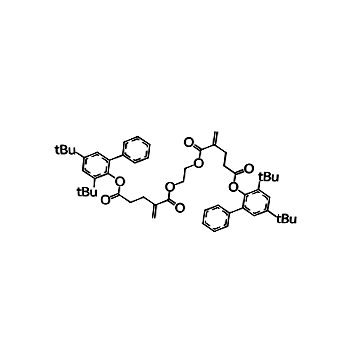 C=C(CCC(=O)Oc1c(-c2ccccc2)cc(C(C)(C)C)cc1C(C)(C)C)C(=O)OCCOC(=O)C(=C)CCC(=O)Oc1c(-c2ccccc2)cc(C(C)(C)C)cc1C(C)(C)C